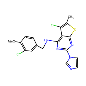 COc1ccc(CNc2nc(-n3ccnc3)nc3sc(C)c(Cl)c23)cc1Cl